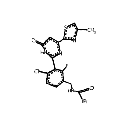 Cc1csc(-c2cc(=O)[nH]c(-c3c(Cl)ccc(CNC(=O)C(C)C)c3F)n2)n1